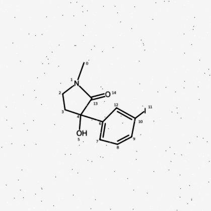 CN1CCC(O)(c2cccc(I)c2)C1=O